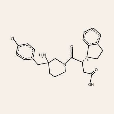 NC1(Cc2ccc(Cl)cc2)CCCN(C(=O)C(CC(=O)O)[C@H]2CCc3ccccc32)C1